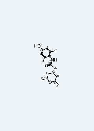 Cc1cc(O)cc(C)c1NC(=O)CN1CC(C)OC(C)C1